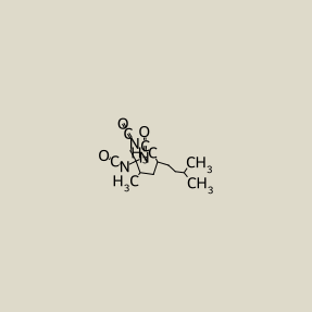 CC(C)CCC(C)CC(C)C(CN=C=O)(N=C=O)N=C=O